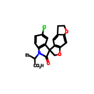 CCC(C(=O)O)N1C(=O)C2(COc3cc4c(cc32)CCO4)c2cc(Cl)ccc21